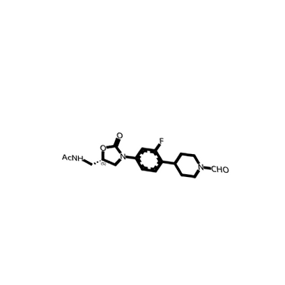 CC(=O)NC[C@H]1CN(c2ccc(C3CCN(C=O)CC3)c(F)c2)C(=O)O1